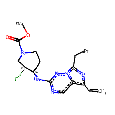 C=Cc1nc(CC(C)C)n2nc(N[C@@H]3CCN(C(=O)OC(C)(C)C)C[C@H]3F)ncc12